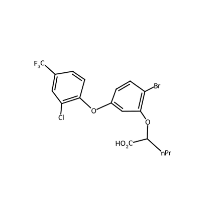 CCCC(Oc1cc(Oc2ccc(C(F)(F)F)cc2Cl)ccc1Br)C(=O)O